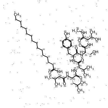 CCCCCCCCCCCCCCCC(=O)N[C@H](C(=O)N[C@@H](CC(C)C)C(=O)N[C@H](C(=O)N[C@@H](Cc1ccc(O)cc1)C(=O)N[C@@H](CO)C(=O)N[C@H](C(=O)NC)[C@@H](C)O)C(C)C)C(C)C